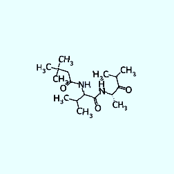 CC(C)C(=O)[C@H](C)NC(=O)C(NC(=O)CC(C)(C)C)C(C)C